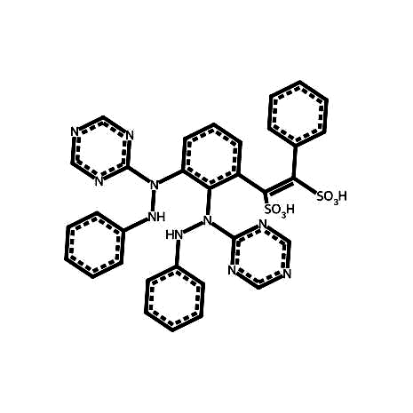 O=S(=O)(O)C(=C(c1cccc(N(Nc2ccccc2)c2ncncn2)c1N(Nc1ccccc1)c1ncncn1)S(=O)(=O)O)c1ccccc1